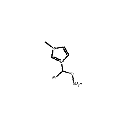 CC(C)C(OS(=O)(=O)O)[n+]1ccn(C)c1